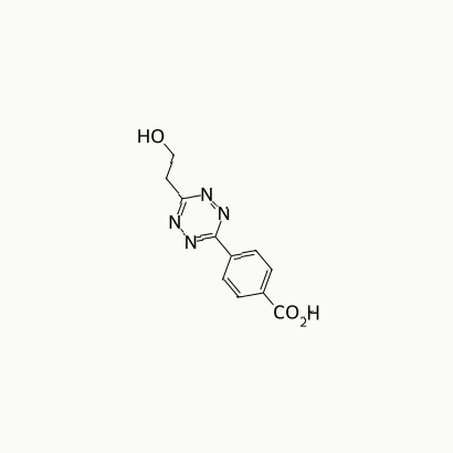 O=C(O)c1ccc(-c2nnc(CCO)nn2)cc1